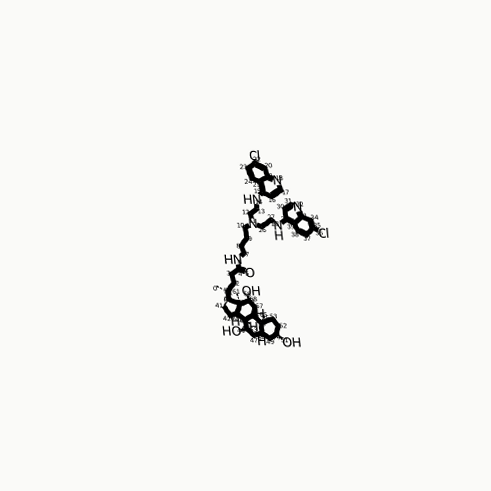 C[C@H](CCC(=O)NCCCCN(CCNc1ccnc2cc(Cl)ccc12)CCNc1ccnc2cc(Cl)ccc12)[C@H]1CC[C@H]2[C@@H]3[C@H](O)C[C@@H]4C[C@H](O)CC[C@]4(C)[C@H]3C[C@H](O)[C@]12C